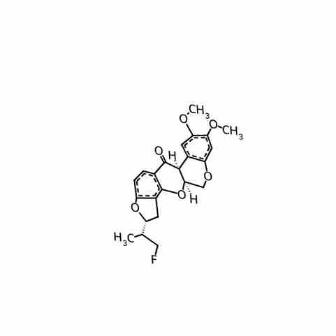 COc1cc2c(cc1OC)[C@@H]1C(=O)c3ccc4c(c3O[C@@H]1CO2)C[C@H](C(C)CF)O4